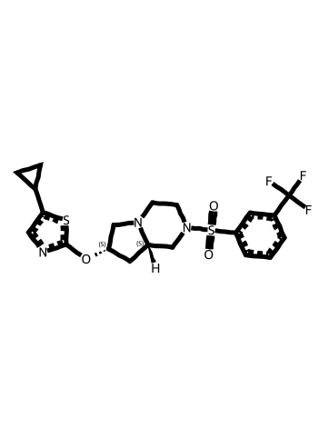 O=S(=O)(c1cccc(C(F)(F)F)c1)N1CCN2C[C@@H](Oc3ncc(C4CC4)s3)C[C@H]2C1